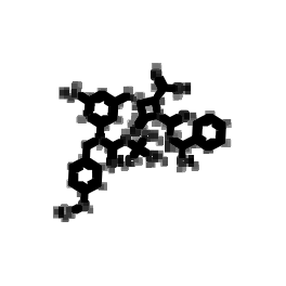 COc1ccc(CN(C(=O)OC(C)(C)C)c2cc(C[C@H]3C(=O)N(C(=O)N[C@H](C)c4ccccc4)[C@@H]3C(=O)O)cc(C)n2)cc1